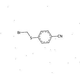 N#Cc1ccc(SCBr)cc1